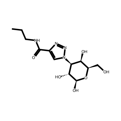 CCCNC(=O)c1cn([C@@H]2[C@@H](O)[C@H](O)O[C@H](CO)[C@@H]2O)nn1